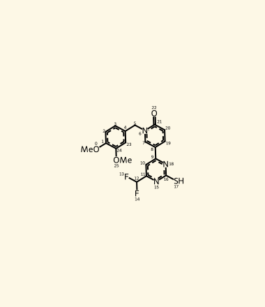 COc1ccc(Cn2cc(-c3cc(C(F)F)nc(S)n3)ccc2=O)cc1OC